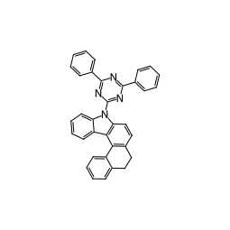 c1ccc(-c2nc(-c3ccccc3)nc(-n3c4ccccc4c4c5c(ccc43)CCc3ccccc3-5)n2)cc1